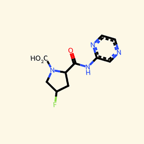 O=C(Nc1cnccn1)C1CC(F)CN1C(=O)O